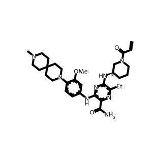 C=CC(=O)N1CCC[C@@H](Nc2nc(Nc3ccc(N4CCC5(CCN(C)CC5)CC4)c(OC)c3)c(C(N)=O)nc2CC)C1